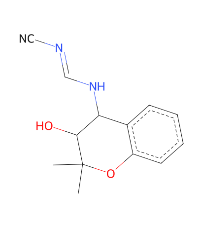 CC1(C)Oc2ccccc2C(NC=NC#N)C1O